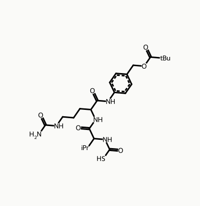 CC(C)C(NC(=O)S)C(=O)NC(CCCNC(N)=O)C(=O)Nc1ccc(COC(=O)C(C)(C)C)cc1